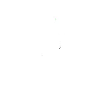 Fc1cccc(-c2ccc(C=C[C@H]3[C@H]4CC[C@@H](F)C[C@H]4CC34OCCO4)nc2)c1